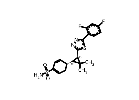 CC1(C)[C@H](c2nnc(-c3ccc(F)cc3F)s2)[C@H]1C1C=CC(S(N)(=O)=O)=CC1